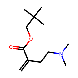 C=C(CCN(C)C)C(=O)OCC(C)(C)C